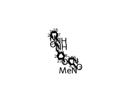 CNC(=O)c1cc(Oc2ccc(CNC(=O)Nc3ccccn3)cc2)ccn1